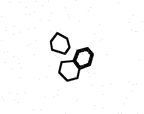 C1CCCCC1.c1ccc2c(c1)CCCC2